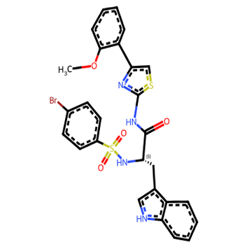 COc1ccccc1-c1csc(NC(=O)[C@H](Cc2c[nH]c3ccccc23)NS(=O)(=O)c2ccc(Br)cc2)n1